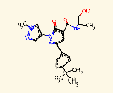 CC(CO)NC(=O)c1cc(-c2ccc([Si](C)(C)C)cc2)nn(-c2cnn(C)c2)c1=O